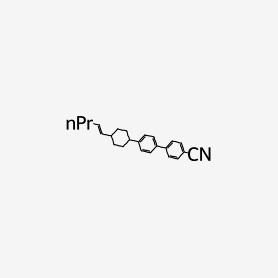 CCCC=CC1CCC(c2ccc(-c3ccc(C#N)cc3)cc2)CC1